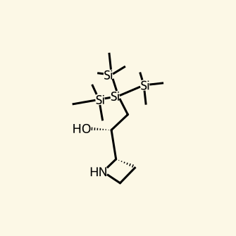 C[Si](C)(C)[Si](C[C@@H](O)[C@@H]1CCN1)([Si](C)(C)C)[Si](C)(C)C